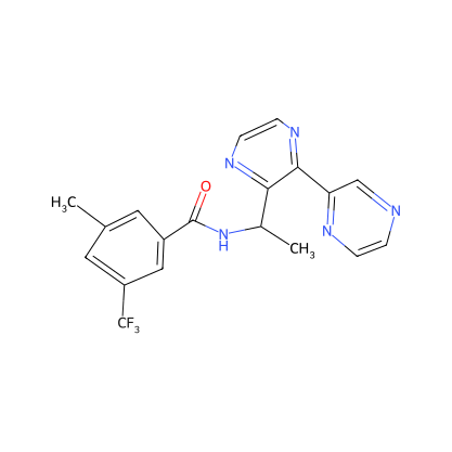 Cc1cc(C(=O)NC(C)c2nccnc2-c2cnccn2)cc(C(F)(F)F)c1